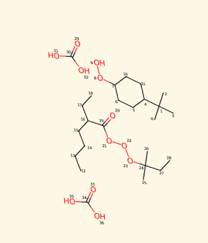 CC(C)(C)C1CCC(OO)CC1.CCCCC(CC)C(=O)OOOC(C)(C)CC.O=C(O)O.O=C(O)O